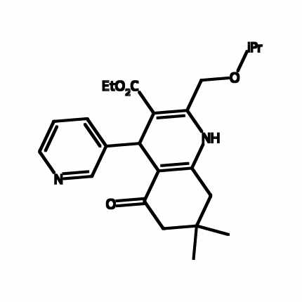 CCOC(=O)C1=C(COC(C)C)NC2=C(C(=O)CC(C)(C)C2)C1c1cccnc1